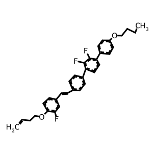 C=CCCOc1ccc(/C=C/c2ccc(-c3ccc(-c4ccc(OCCCC)cc4)c(F)c3F)cc2)cc1F